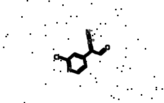 [N-]=[N+]=C(C=O)c1ccnc(Cl)c1